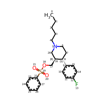 CCCCCN1CC[C@H](c2ccc(F)cc2)[C@@H](COS(=O)(=O)c2ccccc2)C1